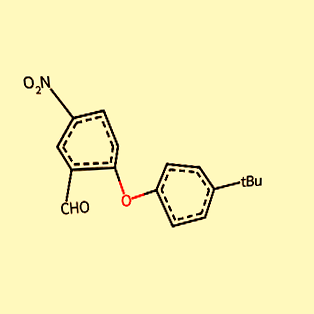 CC(C)(C)c1ccc(Oc2ccc([N+](=O)[O-])cc2C=O)cc1